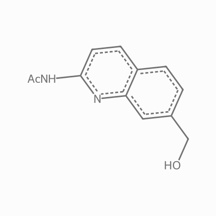 CC(=O)Nc1ccc2ccc(CO)cc2n1